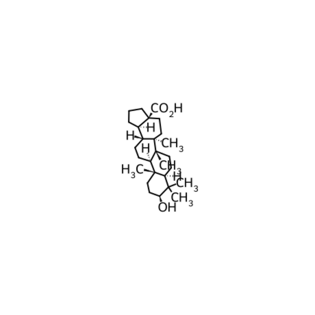 CC1(C)[C@@H](O)CC[C@]2(C)[C@H]3CC[C@@H]4[C@H]5CCC[C@]5(C(=O)O)CC[C@@]4(C)[C@]3(C)CC[C@@H]12